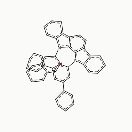 c1ccc(-c2cc(-c3ccccc3)nc(-n3c4ccccc4c4ccc5c6ccccc6n(-c6ccc7ccccc7c6)c5c43)c2)cc1